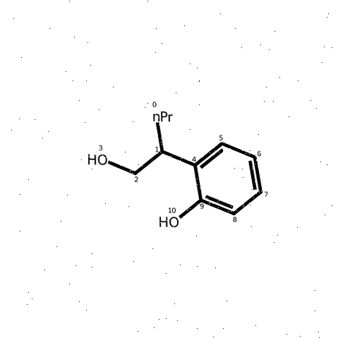 CCCC(CO)c1ccccc1O